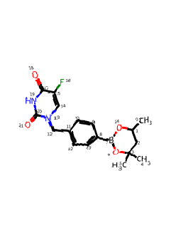 CC1CC(C)(C)OB(c2ccc(Cn3cc(F)c(=O)[nH]c3=O)cc2)O1